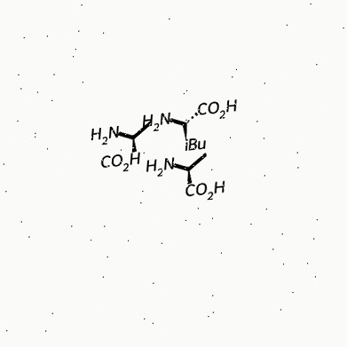 CC[C@H](C)[C@H](N)C(=O)O.C[C@H](N)C(=O)O.C[C@H](N)C(=O)O